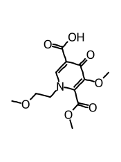 COCCn1cc(C(=O)O)c(=O)c(OC)c1C(=O)OC